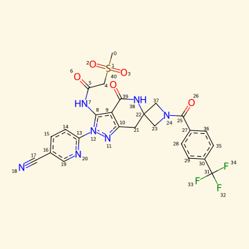 CS(=O)(=O)CC(=O)Nc1c2c(nn1-c1ccc(C#N)cn1)CC1(CN(C(=O)c3ccc(C(F)(F)F)cc3)C1)NC2=O